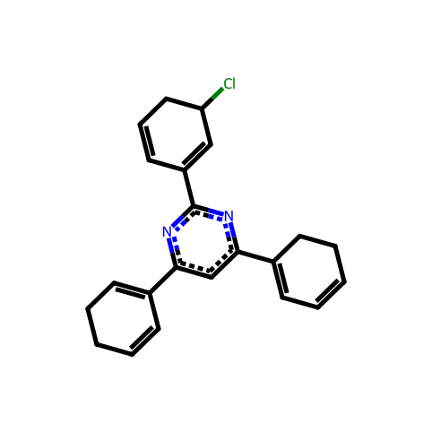 ClC1C=C(c2nc(C3=CCCC=C3)cc(C3=CC=CCC3)n2)C=CC1